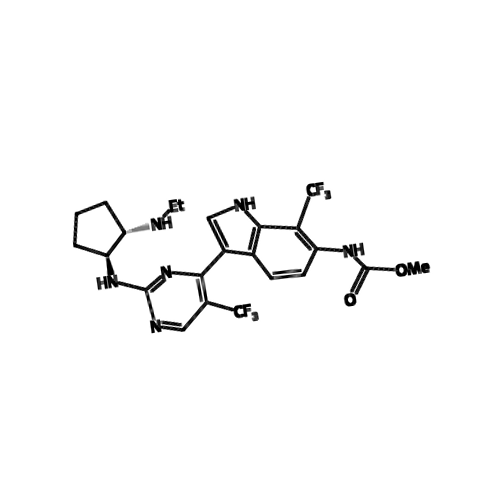 CCN[C@H]1CCC[C@@H]1Nc1ncc(C(F)(F)F)c(-c2c[nH]c3c(C(F)(F)F)c(NC(=O)OC)ccc23)n1